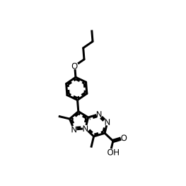 CCCCOc1ccc(-c2c(C)nn3c(C)c(C(=O)O)nnc23)cc1